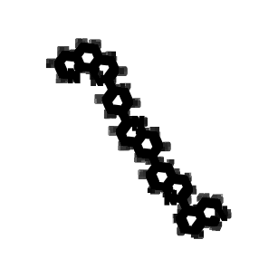 c1cc(-c2ccc3cc(-c4ccc5nc(-c6ccc(-c7ccc8ccc9cccnc9c8n7)cc6)ccc5c4)ccc3n2)c2ccncc2c1